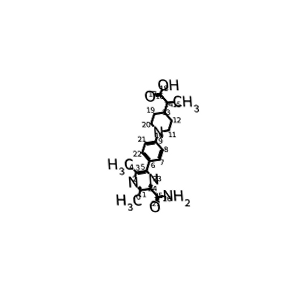 Cc1nc(C)c(-c2ccc(N3CCC(C(C)C(=O)O)CC3)cc2)nc1C(N)=O